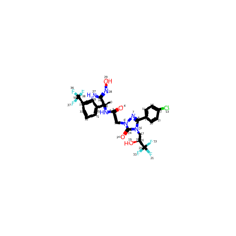 C[C@](NC(=O)Cn1nc(-c2ccc(Cl)cc2)n(C[C@H](O)C(F)(F)F)c1=O)(C(N)=NO)c1cccc(C(F)(F)F)c1